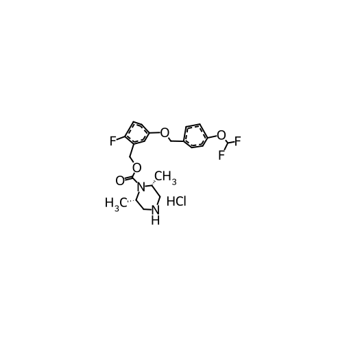 C[C@@H]1CNC[C@H](C)N1C(=O)OCc1cc(OCc2ccc(OC(F)F)cc2)ccc1F.Cl